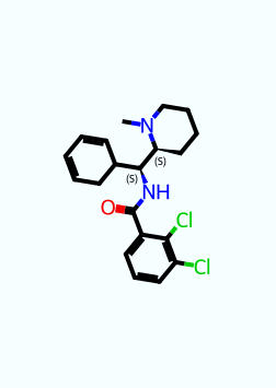 CN1CCCC[C@H]1[C@@H](NC(=O)c1cccc(Cl)c1Cl)C1C=CC=CC1